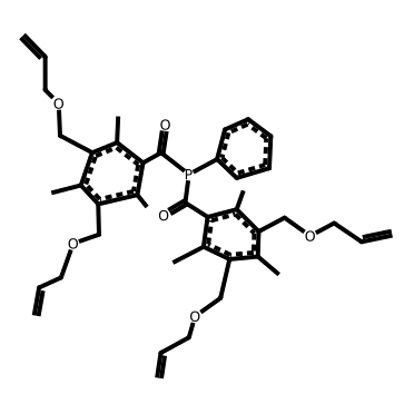 C=CCOCc1c(C)c(COCC=C)c(C)c(C(=O)P(C(=O)c2c(C)c(COCC=C)c(C)c(COCC=C)c2C)c2ccccc2)c1C